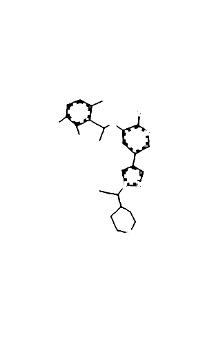 CC(Oc1cc(-c2cnn(C(C)C3CCNCC3)c2)cnc1N)c1c(Cl)ccc(F)c1Cl